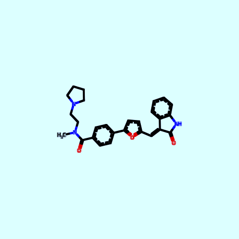 CN(CCN1CCCC1)C(=O)c1ccc(-c2ccc(/C=C3/C(=O)Nc4ccccc43)o2)cc1